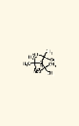 CCCCC(C)(C)[SiH](C(C)(C)CCCC)C(C)(C)CCCC